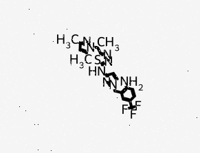 Cc1cc(C)n(C(C)c2nnc(Nc3ccn(Cc4cc(C(F)(F)F)ccc4N)n3)s2)n1